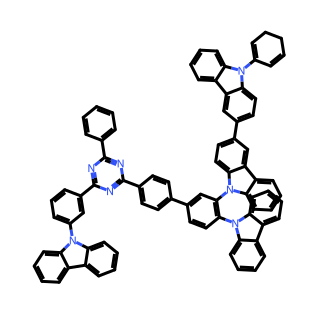 C1=CC(n2c3ccccc3c3cc(-c4ccc5c(c4)c4ccccc4n5-c4cc(-c5ccc(-c6nc(-c7ccccc7)nc(-c7cccc(-n8c9ccccc9c9ccccc98)c7)n6)cc5)ccc4-n4c5ccccc5c5ccccc54)ccc32)=CCC1